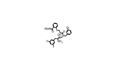 CCc1cccc(CN(C[C@@H](O)[C@@H](N)Cc2cc(F)cc(F)c2)C(=O)CCSc2ccccc2C(=O)NC)c1